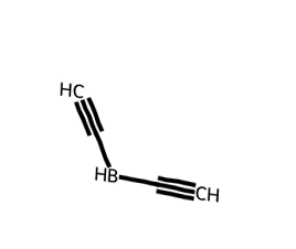 C#CBC#C